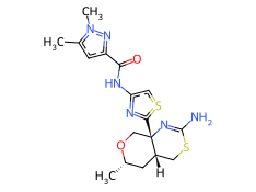 Cc1cc(C(=O)Nc2csc([C@]34CO[C@@H](C)C[C@H]3CSC(N)=N4)n2)nn1C